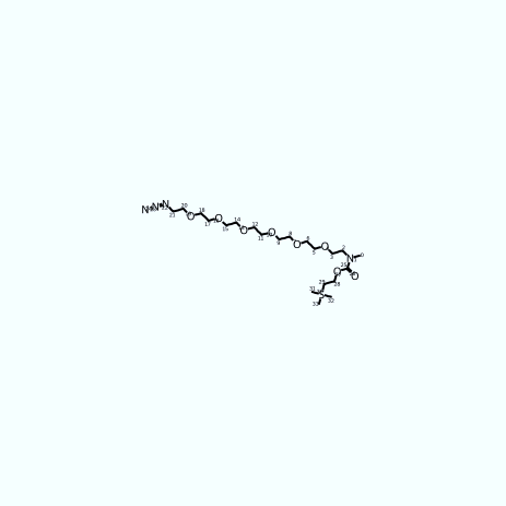 CN(CCOCCOCCOCCOCCOCCOCCN=[N+]=[N-])C(=O)OCCS(C)(C)C